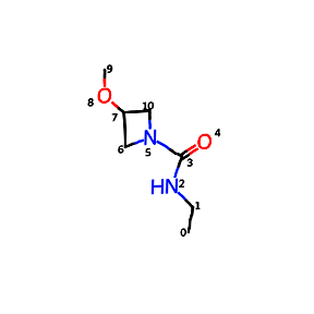 CCNC(=O)N1CC(OC)C1